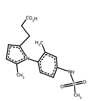 Cc1cc(NS(C)(=O)=O)ccc1-n1c(C)ccc1CCC(=O)O